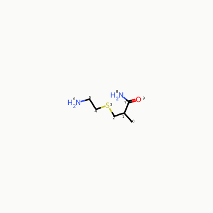 CC(CSCCN)C(N)=O